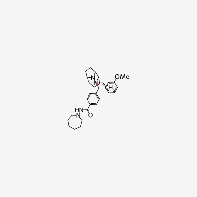 C=CCN1C2CCC1C1CCC2N1C(c1ccc(C(=O)NN2CCCCCC2)cc1)c1cccc(OC)c1